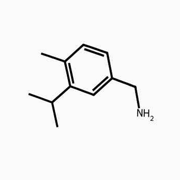 Cc1ccc(CN)cc1C(C)C